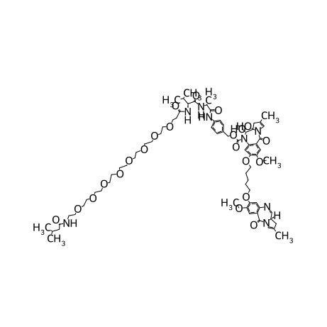 COc1cc2c(cc1OCCCCCOc1cc3c(cc1OC)C(=O)N1C=C(C)C[C@@]1(O)[C@H](O)N3C(=O)OCc1ccc(NC(=O)[C@H](C)NC(=O)[C@@H](NC(=O)CCOCCOCCOCCOCCOCCOCCOCCOCCNC(=O)CC(C)C)C(C)C)cc1)N=C[C@@H]1CC(C)=CN1C2=O